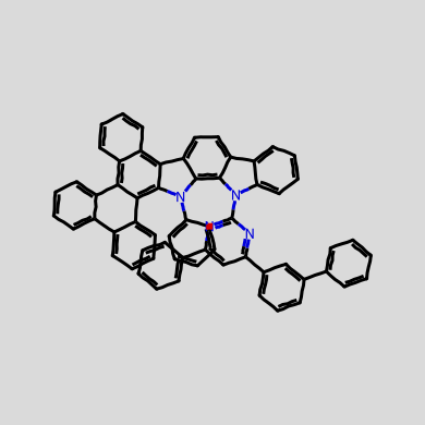 c1ccc(-c2cccc(-c3cc(-c4ccccc4)nc(-n4c5ccccc5c5ccc6c7c8ccccc8c8c9ccccc9c9ccccc9c8c7n(-c7ccccc7)c6c54)n3)c2)cc1